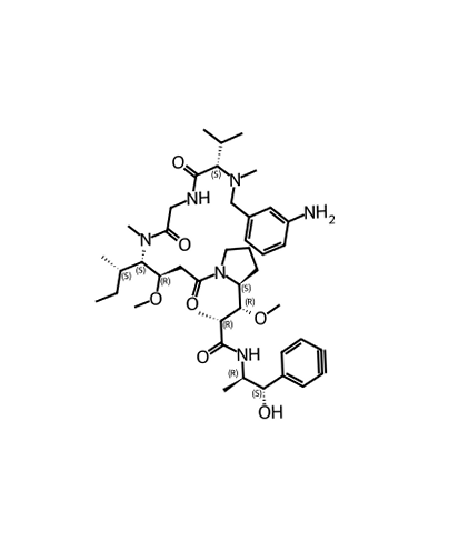 CC[C@H](C)[C@@H]([C@@H](CC(=O)N1CCC[C@H]1[C@H](OC)[C@@H](C)C(=O)N[C@H](C)[C@@H](O)c1cc#ccc1)OC)N(C)C(=O)CNC(=O)[C@H](C(C)C)N(C)Cc1cccc(N)c1